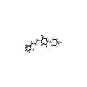 Cc1cc(N2CCNCC2)c(C)cc1CCNc1ccsc1